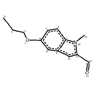 CCCOc1ccc2c(c1)cc(C=O)n2C